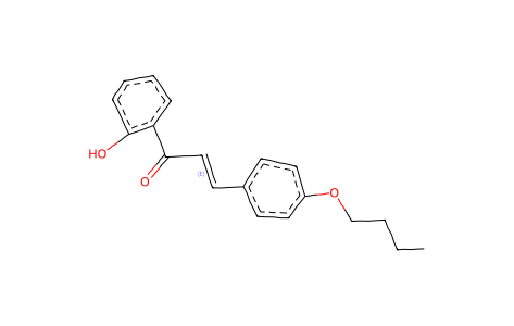 CCCCOc1ccc(/C=C/C(=O)c2ccccc2O)cc1